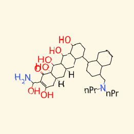 CCCN(CCC)CC1CCC(C2CCC(O)C3C(O)C4C(O)[C@]5(O)C(=O)C(C(N)O)=C(O)C[C@@H]5C[C@@H]4CC23)C2CCCCC12